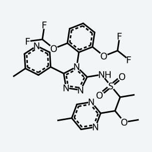 COC(c1ncc(C)cn1)C(C)S(=O)(=O)Nc1nnc(-c2cncc(C)c2)n1-c1c(OC(F)F)cccc1OC(F)F